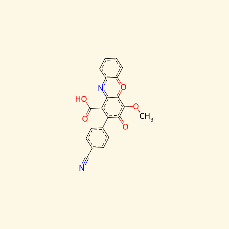 COc1c2oc3ccccc3nc-2c(C(=O)O)c(-c2ccc(C#N)cc2)c1=O